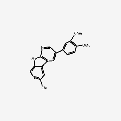 COc1ccc(-c2cnc3[nH]c4cnc(C#N)cc4c3c2)cc1OC